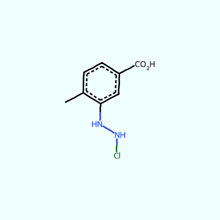 Cc1ccc(C(=O)O)cc1NNCl